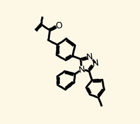 C=C(C)C(=O)Cc1ccc(-c2nnc(-c3ccc(C)cc3)n2-c2ccccc2)cc1